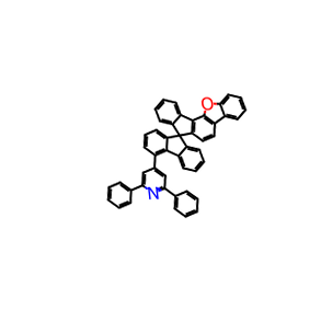 c1ccc(-c2cc(-c3cccc4c3-c3ccccc3C43c4ccccc4-c4c3ccc3c4oc4ccccc43)cc(-c3ccccc3)n2)cc1